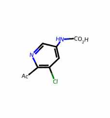 CC(=O)c1ncc(NC(=O)O)cc1Cl